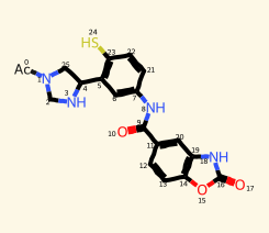 CC(=O)N1CNC(c2cc(NC(=O)c3ccc4oc(=O)[nH]c4c3)ccc2S)C1